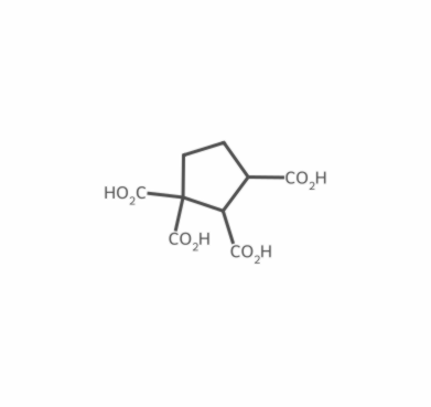 O=C(O)C1CCC(C(=O)O)(C(=O)O)C1C(=O)O